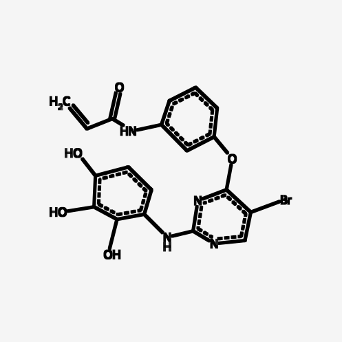 C=CC(=O)Nc1cccc(Oc2nc(Nc3ccc(O)c(O)c3O)ncc2Br)c1